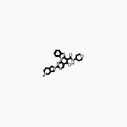 CN1CCC2CN(c3ncc4c(=O)c(C(=O)NC5CCOCC5)c5sc6ccccc6n5c4n3)CC2C1